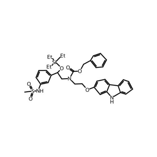 CC[Si](CC)(CC)OC(CN(CCOc1ccc2c(c1)[nH]c1ccccc12)C(=O)OCc1ccccc1)c1cccc(NS(C)(=O)=O)c1